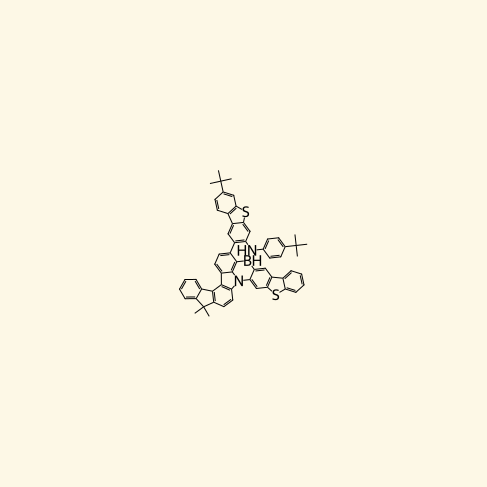 CC(C)(C)c1ccc(Nc2cc3sc4cc(C(C)(C)C)ccc4c3cc2-c2ccc3c4c5c(ccc4n4c3c2Bc2cc3c(cc2-4)sc2ccccc23)C(C)(C)c2ccccc2-5)cc1